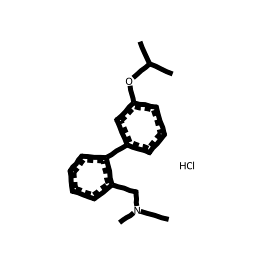 CC(C)Oc1cccc(-c2ccccc2CN(C)C)c1.Cl